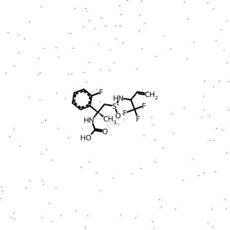 C=CC(N[S+]([O-])C[C@](C)(NC(=O)O)c1ccccc1F)C(F)(F)F